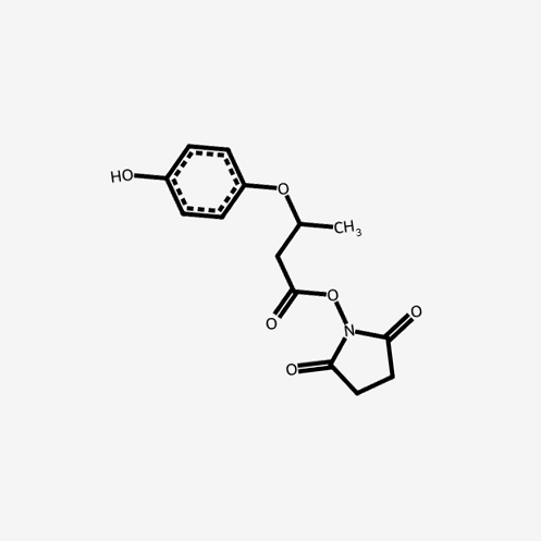 CC(CC(=O)ON1C(=O)CCC1=O)Oc1ccc(O)cc1